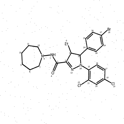 CCC1C(C(=O)NN2CCCCCC2)=NN(c2ccc(Cl)cc2Cl)C1c1ccc(Br)cc1